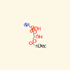 CCCCCCCCCCCC(=O)OCC(O)COP(=O)(O)OCC[N+](C)(C)C